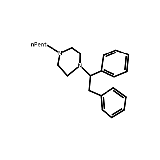 CCCCCN1CCN(C(Cc2ccccc2)c2ccccc2)CC1